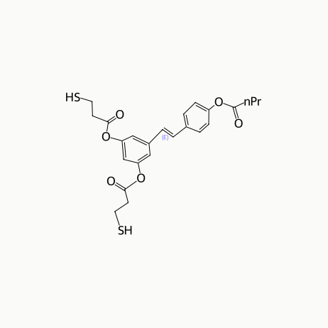 CCCC(=O)Oc1ccc(/C=C/c2cc(OC(=O)CCS)cc(OC(=O)CCS)c2)cc1